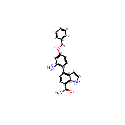 NC(=O)c1ccc(-c2ccc(OCc3ccccc3)cc2N)c2cc[nH]c12